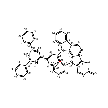 C=C/C=C\c1c(C)c2ccc3c4ccccc4n(-c4cccc(-c5nc(-c6ccccc6)nc(-c6ccccc6)n5)c4)c3c2n1-c1ccccc1